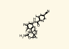 Cc1cc(C#N)cnc1C(=O)Nc1cc(F)c(C)c([C@@]2(C(F)F)N=C(N)OC3C[C@@H]32)c1